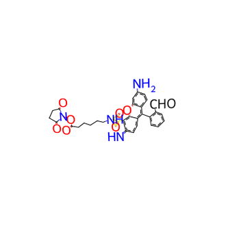 N=c1ccc2c(-c3ccccc3C=O)c3ccc(N)cc3oc-2c1S(=O)(=O)NCCCCCC(=O)ON1C(=O)CCC1=O